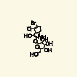 OC[C@H]1O[C@@H](Oc2[nH]c3ccc(Br)c(Cl)c3c2O)[C@H](O)[C@@H](O)[C@H]1O